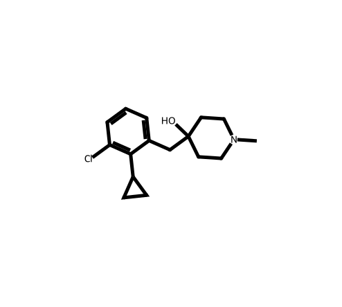 CN1CCC(O)(Cc2cccc(Cl)c2C2CC2)CC1